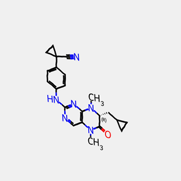 CN1C(=O)[C@@H](CC2CC2)N(C)c2nc(Nc3ccc(C4(C#N)CC4)cc3)ncc21